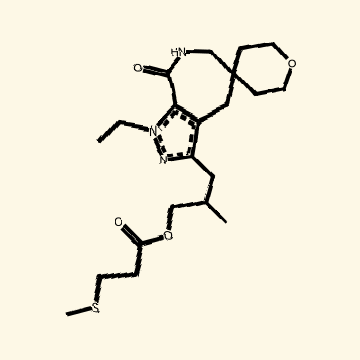 CCn1nc(CC(C)COC(=O)CCSC)c2c1C(=O)NCC1(CCOCC1)C2